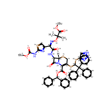 CC(C)(C)OC(=O)Nc1nc(/C(=N/OC(C)(C)C(=O)OC(C)(C)C)C(=O)NC2C(=O)N3C(C(=O)OC(c4ccccc4)c4ccccc4)=C(SC(Sc4c[nH]nn4)C(c4ccccc4)(c4ccccc4)c4ccccc4)CS[C@@H]23)cs1